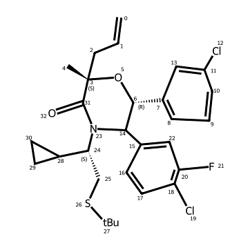 C=CC[C@]1(C)O[C@H](c2cccc(Cl)c2)C(c2ccc(Cl)c(F)c2)N([C@H](CSC(C)(C)C)C2CC2)C1=O